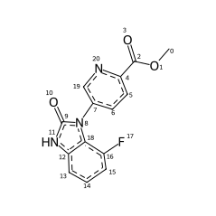 COC(=O)c1ccc(-n2c(=O)[nH]c3cccc(F)c32)cn1